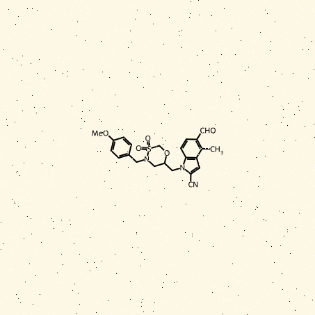 COc1ccc(CN2CC(Cn3c(C#N)cc4c(C)c(C=O)ccc43)OCS2(=O)=O)cc1